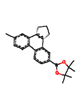 Cc1ccc2c(c1)[C@]13CCC[C@]1(CCC3)c1cc(B3OC(C)(C)C(C)(C)O3)ccc1-2